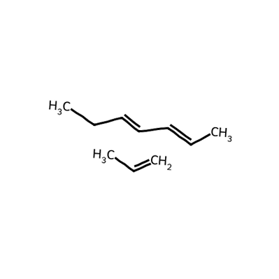 C/C=C/C=C/CC.C=CC